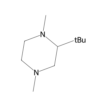 CN1CCN(C)C(C(C)(C)C)C1